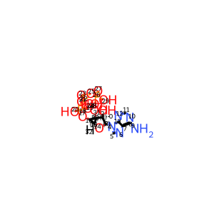 C[C@]1(O)[C@H](n2cnc3c(N)ncnc32)O[C@@H]2C(OP(=O)(O)OP(=O)(O)OP(=O)(O)O)[C@@]21O